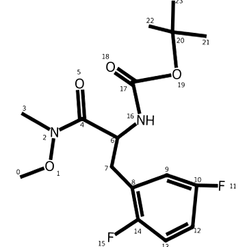 CON(C)C(=O)C(Cc1cc(F)ccc1F)NC(=O)OC(C)(C)C